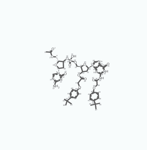 CC(=O)OC[C@H]1O[C@@H](n2cnc(N)nc2=O)CC1OP(=O)(O)OC[C@H]1O[C@@H](n2cnc3c(=O)[nH]c(NC(=O)COc4ccc(C(C)(C)C)cc4)nc32)CC1OC(=O)COc1ccc(C(C)(C)C)cc1